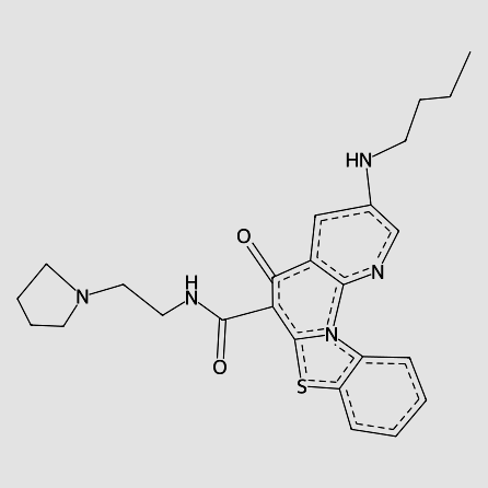 CCCCNc1cnc2c(c1)c(=O)c(C(=O)NCCN1CCCC1)c1sc3ccccc3n12